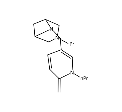 C=C1C=CC(CN2C3CC2CN(C(C)C)C3)=CN1CCC